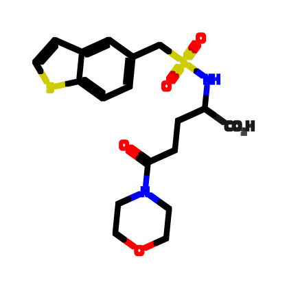 O=C(O)C(CCC(=O)N1CCOCC1)NS(=O)(=O)Cc1ccc2sccc2c1